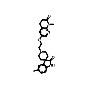 Cc1ccc2c(c1)C1(CCN(CCOc3cnc4c(c3)CCC(=O)N4C)CC1)C(=O)N2